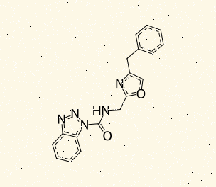 O=C(NCc1nc(Cc2ccccc2)co1)n1nnc2ccccc21